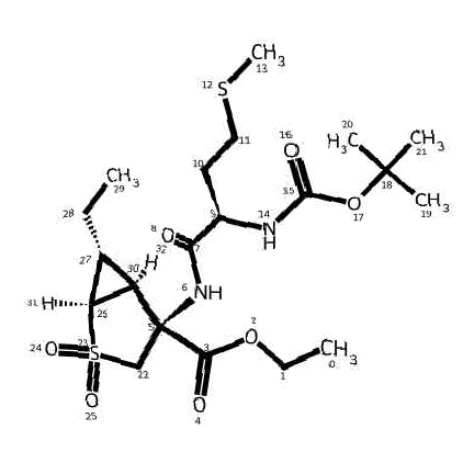 CCOC(=O)[C@]1(NC(=O)[C@@H](CCSC)NC(=O)OC(C)(C)C)CS(=O)(=O)[C@H]2[C@H](CC)[C@H]21